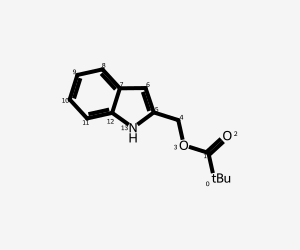 CC(C)(C)C(=O)OCc1cc2ccccc2[nH]1